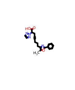 Cc1oc(-c2ccccc2)nc1CCCC#CCC(C(=O)O)n1nccn1